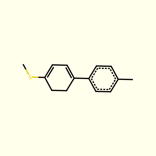 CSC1=CC=C(c2ccc(C)cc2)CC1